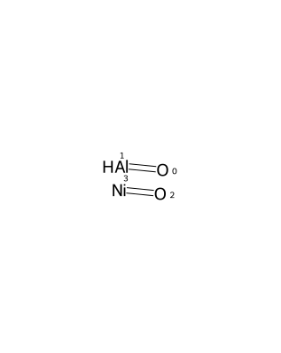 [O]=[AlH].[O]=[Ni]